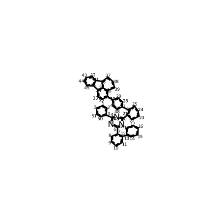 c1ccc(-c2nc(-c3ccccc3-c3ccccc3)nc(-c3ccccc3-c3ccc(-c4ccc5c6c(cccc46)-c4ccccc4-5)cc3)n2)cc1